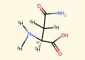 [2H]N([2H])[C@]([2H])(C(=O)O)C([2H])([2H])C(N)=O